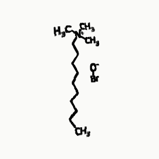 CCCCCCCCCC[N+](C)(C)C.[O-]Br